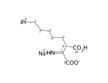 CC(C)CCCCCC(C(=N)C(=O)[O-])C(=O)O.[Na+]